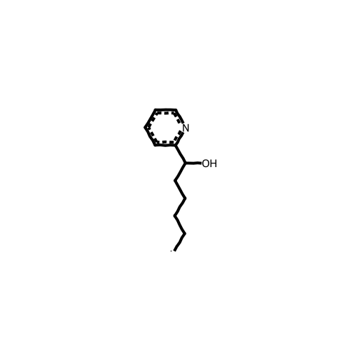 [CH2]CCCCC(O)c1ccccn1